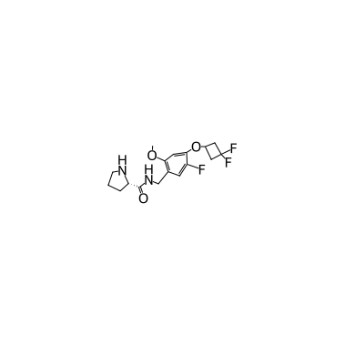 COc1cc(OC2CC(F)(F)C2)c(F)cc1CNC(=O)[C@@H]1CCCN1